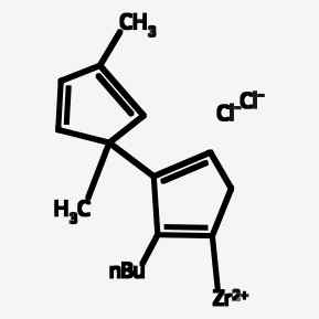 CCCCC1=[C]([Zr+2])CC=C1C1(C)C=CC(C)=C1.[Cl-].[Cl-]